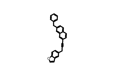 C(#Cc1ccc2ccc(Cc3ccccc3)cc2c1)Cc1ccc2occc2c1